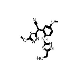 COc1ccc(Nc2nnc(CO)s2)c(C(C#N)c2nnc(OC)s2)c1